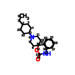 CCC1CCC(N2CCC3(CC2)OC(=O)Nc2ccccc23)CC1